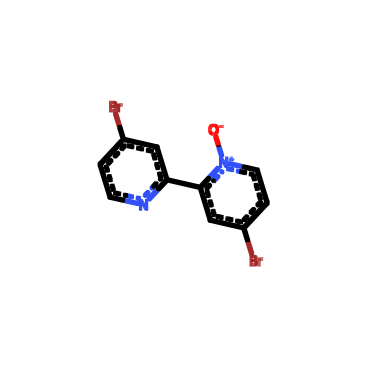 [O-][n+]1ccc(Br)cc1-c1cc(Br)ccn1